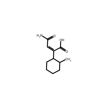 CC1CCCCC1C(=CC(N)=O)C(=O)O